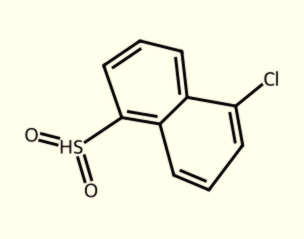 O=[SH](=O)c1cccc2c(Cl)cccc12